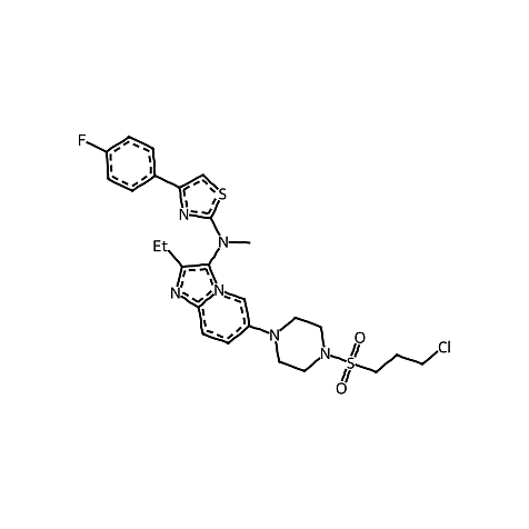 CCc1nc2ccc(N3CCN(S(=O)(=O)CCCCl)CC3)cn2c1N(C)c1nc(-c2ccc(F)cc2)cs1